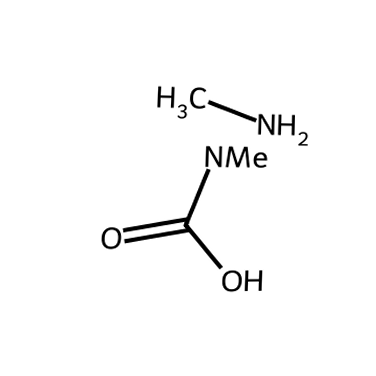 CN.CNC(=O)O